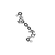 CC(C)C(CC(=O)NCc1ccccc1Cl)c1ncc(-c2ccc(-c3ccc(-c4cnc(C(CC(=O)NCc5ccccc5Cl)C(C)C)[nH]4)cc3)cc2)[nH]1